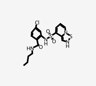 CCCCNC(=O)c1ccc(Cl)cc1NS(=O)(=O)C1=CC=CN2SNC=C12